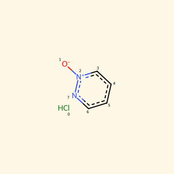 Cl.[O-][n+]1ccccn1